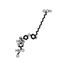 COCCNC(=O)c1cnc(NS(=O)(=O)c2ccc(Oc3ccc(F)c(CCCCCCCCCCCCCC(=O)O)c3)cc2)nc1